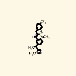 C=Nc1ccc(C(C)c2cncn2C)cc1/C(F)=C(\C)Cc1ccc(C(F)(F)F)cc1